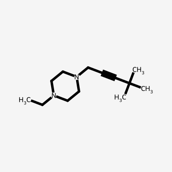 CCN1CCN(CC#CC(C)(C)C)CC1